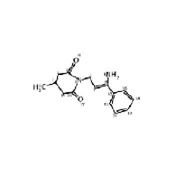 CC1CC(=O)N(CC=C(N)c2ccccc2)C(=O)C1